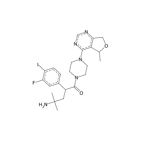 CC1OCc2ncnc(N3CCN(C(=O)C(CC(C)(C)N)c4ccc(I)c(F)c4)CC3)c21